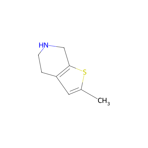 Cc1cc2c(s1)CNCC2